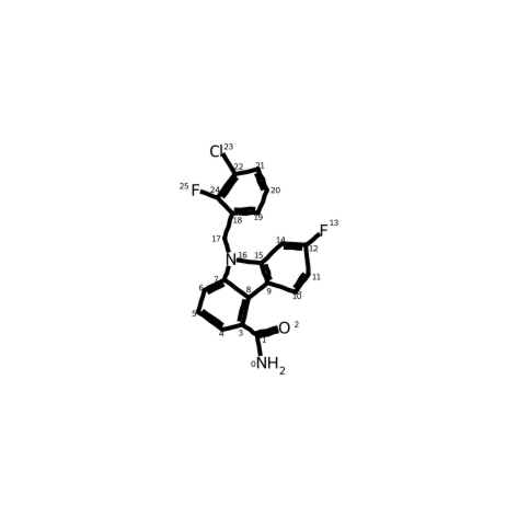 NC(=O)c1cccc2c1c1[c]cc(F)cc1n2Cc1cccc(Cl)c1F